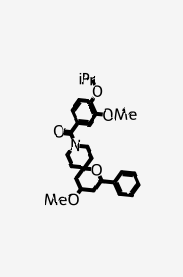 COc1cc(C(=O)N2CCC3(CC2)CC(OC)CC(c2ccccc2)O3)ccc1OC(C)C